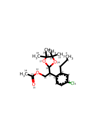 CCCc1cc(Cl)ccc1C(COC(C)=O)C1OC(C)(C)C(C)(C)O1